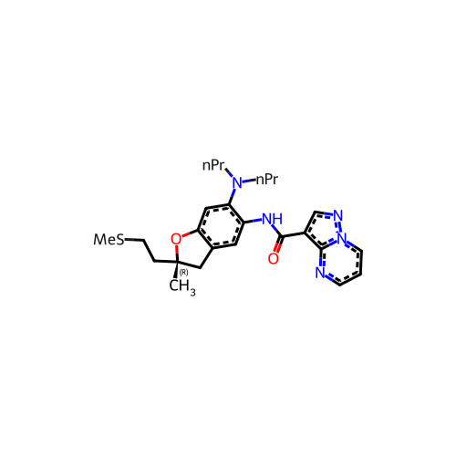 CCCN(CCC)c1cc2c(cc1NC(=O)c1cnn3cccnc13)C[C@](C)(CCSC)O2